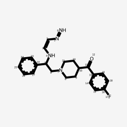 N=N/C=C\NC(CN1CCC(C(=O)c2ccc(F)cc2)CC1)c1ccccc1